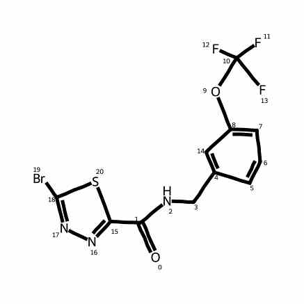 O=C(NCc1cccc(OC(F)(F)F)c1)c1nnc(Br)s1